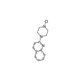 ClN1CCN(c2ccc3ccccc3n2)CC1